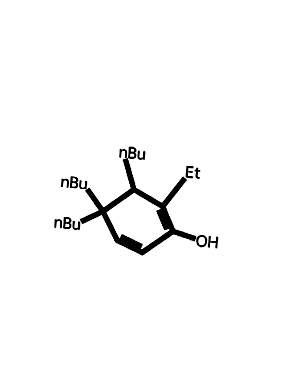 CCCCC1C(CC)=C(O)C=CC1(CCCC)CCCC